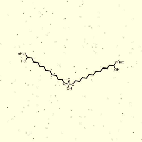 CCCCCCC(O)CC=CCCCCCCCCOP(=O)(O)OCCCCCCCCC=CCC(O)CCCCCC